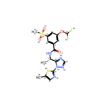 C[C@H](NC(=O)c1cc(OC(F)F)cc(S(C)(=O)=O)c1)c1ncnn1-c1ncc(C#N)s1